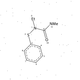 CCN(Sc1ccccc1)C(=O)NC